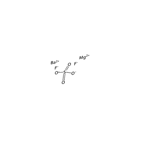 O=S(=O)([O-])[O-].[Ba+2].[F-].[F-].[Mg+2]